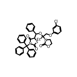 CC[C@](COc1cccc(Cl)c1)(OC(c1ccccc1)C1SC(=O)N(C(c2ccccc2)(c2ccccc2)c2ccccc2)C1=O)N1CCOC1=O